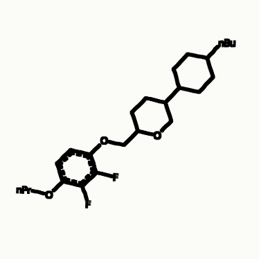 CCCCC1CCC(C2CCC(COc3ccc(OCCC)c(F)c3F)OC2)CC1